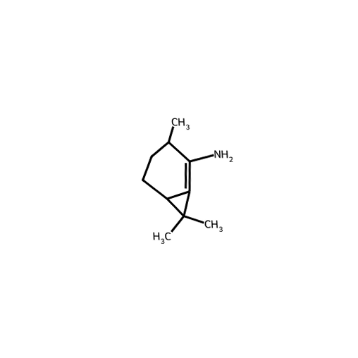 CC1CCC2C(=C1N)C2(C)C